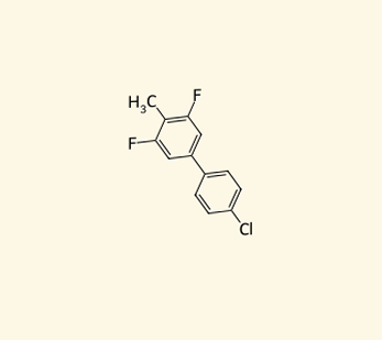 Cc1c(F)cc(-c2ccc(Cl)cc2)cc1F